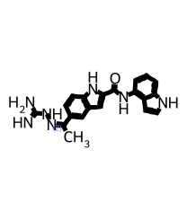 C/C(=N/NC(=N)N)c1ccc2[nH]c(C(=O)Nc3cccc4[nH]ccc34)cc2c1